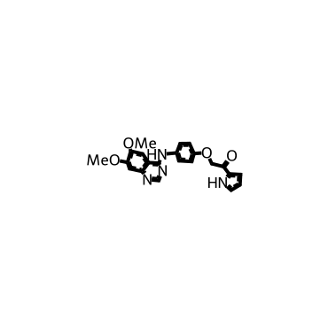 COc1cc2ncnc(Nc3ccc(OCC(=O)c4ccc[nH]4)cc3)c2cc1OC